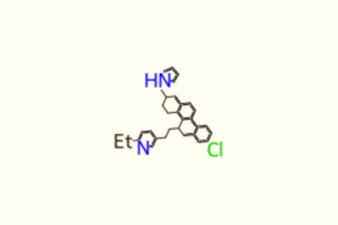 CCc1ccc(CCC2C=c3cc(Cl)ccc3=c3ccc4c(c32)CCC(C)C=4)cn1.c1cc[nH]c1